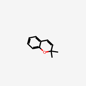 CC1(C)[C]=Cc2ccccc2O1